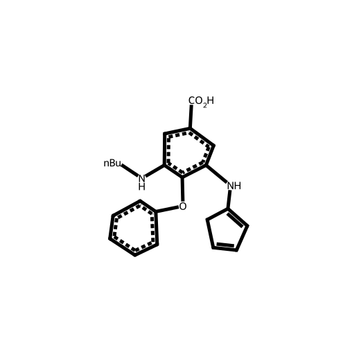 CCCCNc1cc(C(=O)O)cc(NC2=CC=CC2)c1Oc1ccccc1